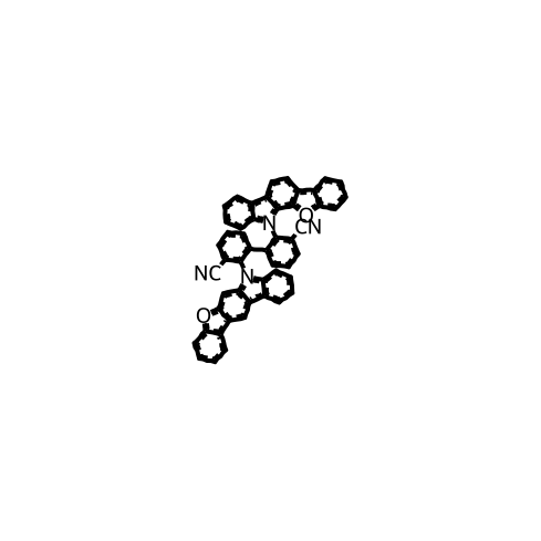 N#Cc1cccc(-c2cccc(C#N)c2-n2c3ccccc3c3ccc4c5ccccc5oc4c32)c1-n1c2ccccc2c2cc3c(cc21)oc1ccccc13